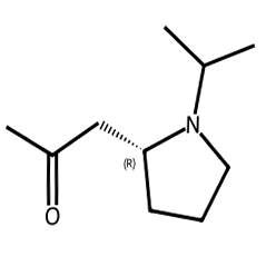 CC(=O)C[C@H]1CCCN1C(C)C